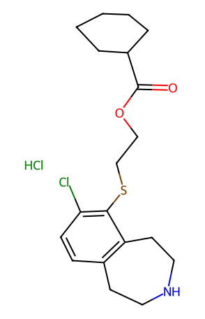 Cl.O=C(OCCSc1c(Cl)ccc2c1CCNCC2)C1CCCCC1